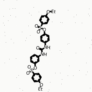 CCOc1ccc(S(=O)(=O)Oc2ccc(NC(=O)Nc3cccc(OS(=O)(=O)c4ccc(OCC)cc4)c3)cc2)cc1